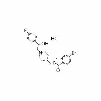 Cl.O=C1c2ccc(Br)cc2CN1CC1CCN(CC(O)c2ccc(F)cc2)CC1